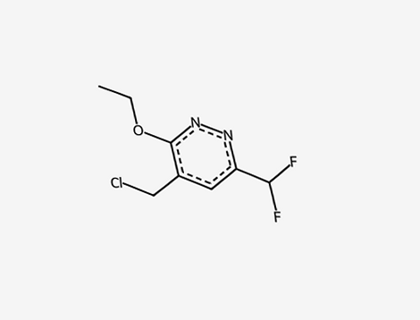 CCOc1nnc(C(F)F)cc1CCl